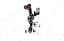 CCc1ccccc1[C@@H]1CCCN1C1CC2(C1)CN(c1ccc(C(=O)NS(=O)(=O)c3ccc(NCC4CCC(C)(O)CC4)c([N+](=O)[O-])c3)c(Oc3cnc4[nH]ccc4c3)c1)C2